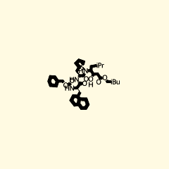 CCC(C)COC(=O)CC(O)C(CC(C)C)NC(=O)[C@H](Cc1cccs1)NC(=O)[C@H](Cc1cccc2ccccc12)NC(=O)OCc1ccccc1